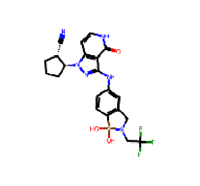 N#C[C@H]1CCC[C@@H]1n1nc(Nc2ccc3c(c2)CN(CC(F)(F)F)S3(O)O)c2c(=O)[nH]ccc21